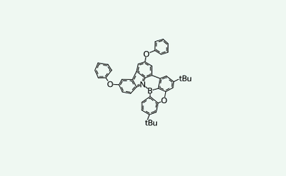 CC(C)(C)c1ccc2c(c1)Oc1cc(C(C)(C)C)cc3c1B2n1c2ccc(Oc4ccccc4)cc2c2cc(Oc4ccccc4)cc-3c21